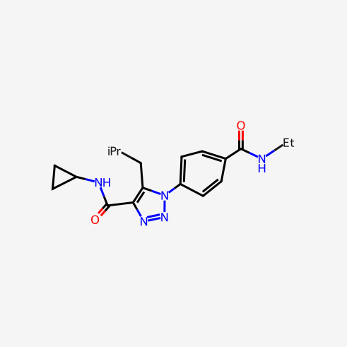 CCNC(=O)c1ccc(-n2nnc(C(=O)NC3CC3)c2CC(C)C)cc1